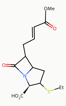 CCSC1CC2C(C/C=C/C(=O)OC)C(=O)N2[C@@H]1C(=O)O